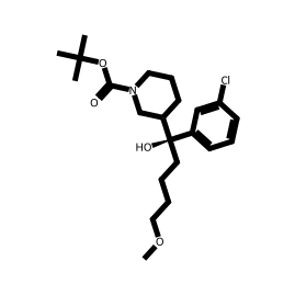 COCCCC[C@@](O)(c1cccc(Cl)c1)C1CCCN(C(=O)OC(C)(C)C)C1